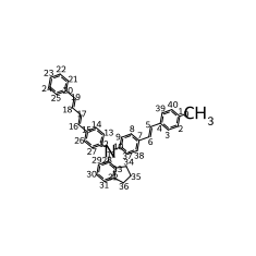 Cc1ccc(/C=C/c2ccc(N(c3ccc(/C=C/C=C/c4ccccc4)cc3)c3cccc4c3CCC4)cc2)cc1